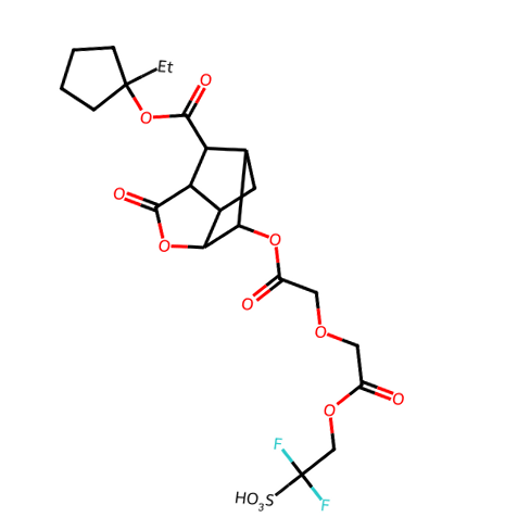 CCC1(OC(=O)C2C3CC4C(OC(=O)C42)C3OC(=O)COCC(=O)OCC(F)(F)S(=O)(=O)O)CCCC1